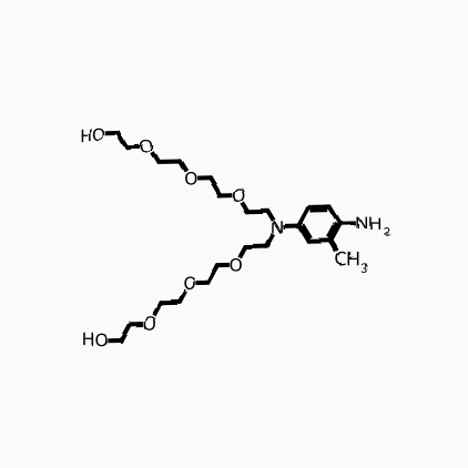 Cc1cc(N(CCOCCOCCOCCO)CCOCCOCCOCCO)ccc1N